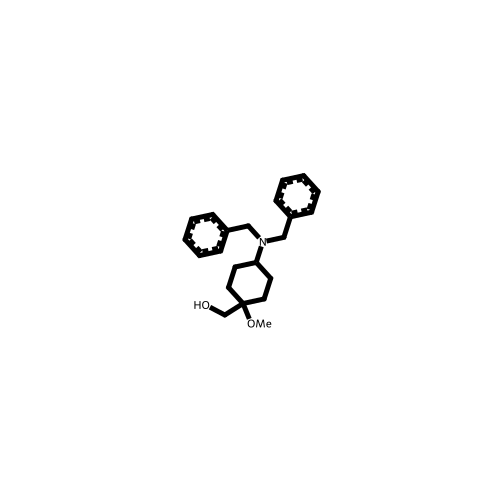 COC1(CO)CCC(N(Cc2ccccc2)Cc2ccccc2)CC1